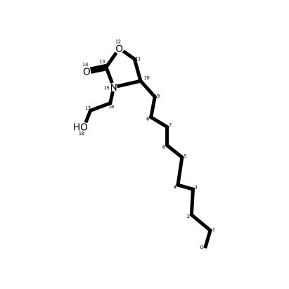 CCCCCCCCCCC1COC(=O)N1CCO